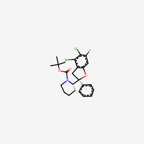 CC(C)(C)OC(=O)N1CCCC[C@H]1[C@@]1(c2ccccc2)Cc2c(cc(F)c(Cl)c2Br)O1